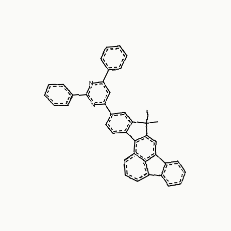 CC1(C)c2cc(-c3cc(-c4ccccc4)nc(-c4ccccc4)n3)ccc2-c2c1cc1c3c(cccc23)-c2ccccc2-1